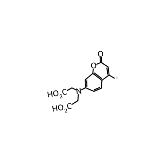 [CH2]c1cc(=O)oc2cc(N(CC(=O)O)CC(=O)O)ccc12